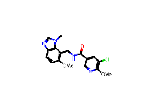 COc1ccc2ncn(C)c2c1CNC(=O)c1cnc(OC)c(Cl)c1